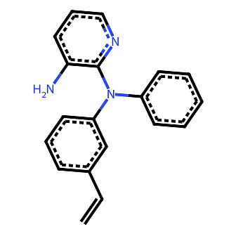 C=Cc1cccc(N(c2ccccc2)c2ncccc2N)c1